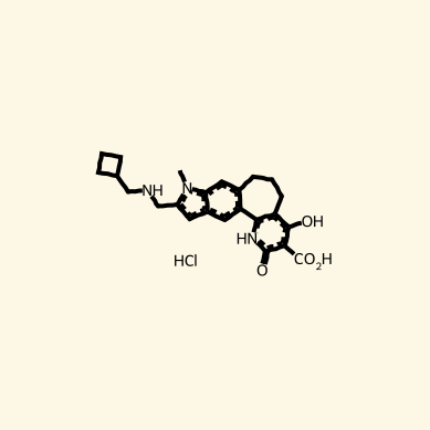 Cl.Cn1c(CNCC2CCC2)cc2cc3c(cc21)CCCc1c-3[nH]c(=O)c(C(=O)O)c1O